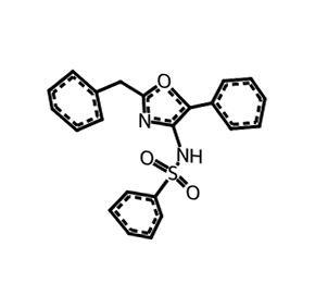 O=S(=O)(Nc1nc(Cc2ccccc2)oc1-c1ccccc1)c1ccccc1